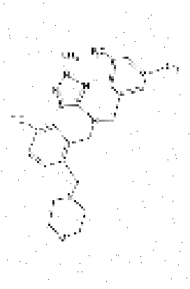 Cn1nnc(N(Cc2cc(C(F)(F)F)cc(C(F)(F)F)c2)Cc2cc(C(F)(F)F)ccc2CN2CCOCC2)n1